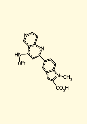 CCCNc1cc(-c2ccc3c(c2)cc(C(=O)O)n3C)nc2ccncc12